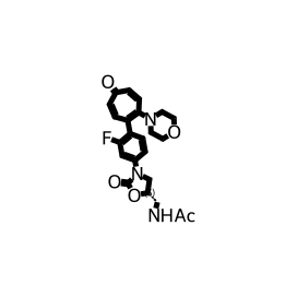 CC(=O)NC[C@H]1CN(c2ccc(-c3ccc(=O)ccc3N3CCOCC3)c(F)c2)C(=O)O1